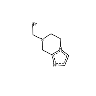 CC(C)CN1CCn2ccnc2C1